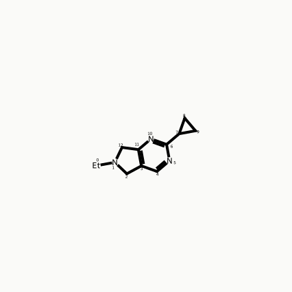 CCN1Cc2cnc(C3CC3)nc2C1